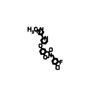 Cn1cc(-c2cc(Oc3ccc4c(c3)C(=O)N(Cc3ccc(Cl)c(F)c3)CO4)ccn2)cn1